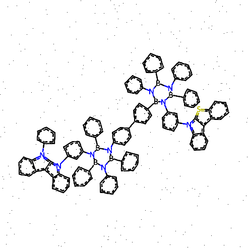 c1ccc(B2N(c3ccccc3)B(c3ccccc3)N(c3cccc(-n4c5ccccc5c5c6ccccc6sc54)c3)B(c3ccc(-c4ccc(N5B(c6ccccc6)N(c6ccccc6)B(c6ccccc6)N(c6cccc(-n7c8ccccc8c8c9ccccc9n(-c9ccccc9)c87)c6)B5c5ccccc5)cc4)cc3)N2c2ccccc2)cc1